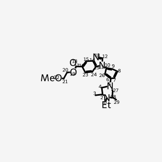 CCN1C(C)CN(c2cccc(-n3cnc4cc(C(=O)OCCOC)ccc43)c2)CC1C